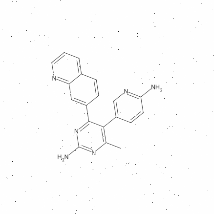 Cc1nc(N)nc(-c2ccc3cccnc3c2)c1-c1ccc(N)nc1